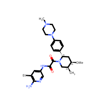 CCc1cc(NC(=O)C(=O)N2C[C@H](C)[C@H](OC)C[C@H]2c2ccc(N3CCN(C)CC3)cc2)cnc1N